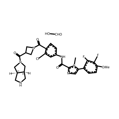 COc1ccc(-c2cnc(C(=O)Nc3ccc(C(=O)N4CC(C(=O)N5C[C@H]6CNC[C@H]6C5)C4)c(Cl)c3)n2C)c(F)c1F.O=CO